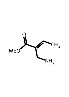 CC=C(CN)C(=O)OC